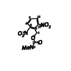 CNC(=O)OCc1c([N+](=O)[O-])cccc1[N+](=O)[O-]